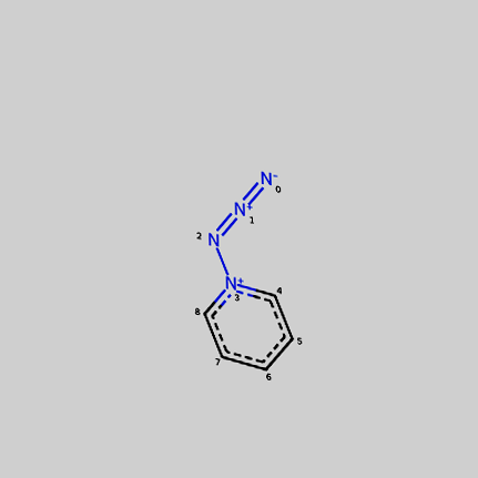 [N-]=[N+]=N[n+]1ccccc1